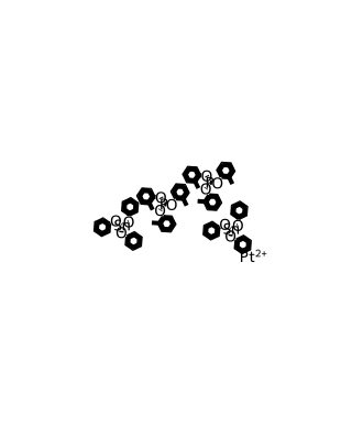 Cc1ccccc1OP(Oc1ccccc1C)Oc1ccccc1C.Cc1ccccc1OP(Oc1ccccc1C)Oc1ccccc1C.[Pt+2].c1ccc([O][Sn]([O]c2ccccc2)[O]c2ccccc2)cc1.c1ccc([O][Sn]([O]c2ccccc2)[O]c2ccccc2)cc1